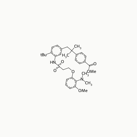 COC(=O)c1ccc(C(C)(C)Cc2ccc(C(C)(C)C)c(NS(=O)(=O)CCOc3cccc(OC)c3N(C)C)c2)cc1